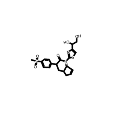 CS(=O)(=O)c1ccc(C(CC2CC=CC2)C(=O)Nc2nc(C(O)CO)cs2)cc1